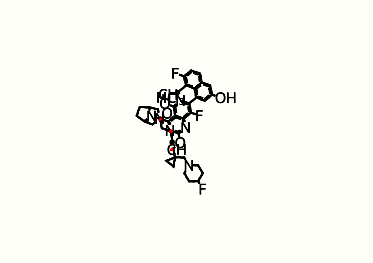 C#CCCC(=O)N1C2CCC1CN(c1nc(OCC3(CN4CCC(F)CC4)CC3)nc3c(F)c(-c4cc(O)cc5ccc(F)c(C#C)c45)nc(OC)c13)C2